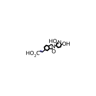 O=C(O)/C=C/c1ccc2c(c1)C(=O)N(c1ccc(O)nc1O)C2